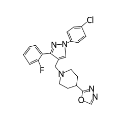 Fc1ccccc1-c1nn(-c2ccc(Cl)cc2)cc1CN1CCC(c2nnco2)CC1